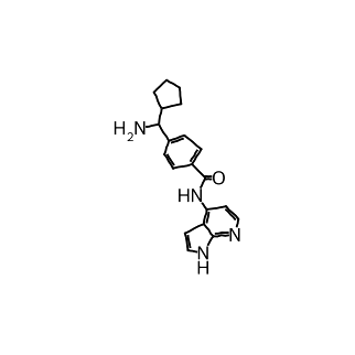 NC(c1ccc(C(=O)Nc2ccnc3[nH]ccc23)cc1)C1CCCC1